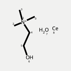 C[N+](C)(C)CCO.O.[Ce]